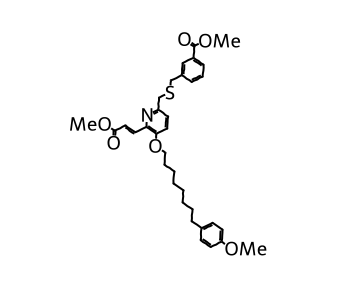 COC(=O)/C=C/c1nc(CSCc2cccc(C(=O)OC)c2)ccc1OCCCCCCCCc1ccc(OC)cc1